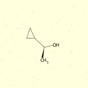 C[C@H](O)C1CC1